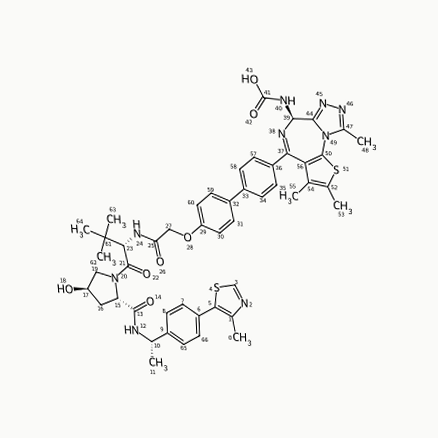 Cc1ncsc1-c1ccc([C@H](C)NC(=O)[C@@H]2C[C@@H](O)CN2C(=O)[C@@H](NC(=O)COc2ccc(-c3ccc(C4=N[C@@H](NC(=O)O)c5nnc(C)n5-c5sc(C)c(C)c54)cc3)cc2)C(C)(C)C)cc1